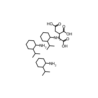 CC(C)C1CCCCC1N.CC(C)C1CCCCC1N.CC(C)C1CCCCC1N.O=C(O)CC(CC(=O)O)C(=O)O